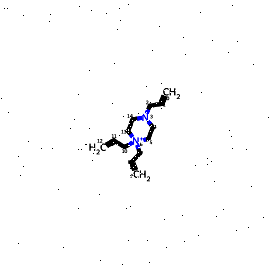 C=CCN1CC[N+](CC=C)(CC=C)CC1